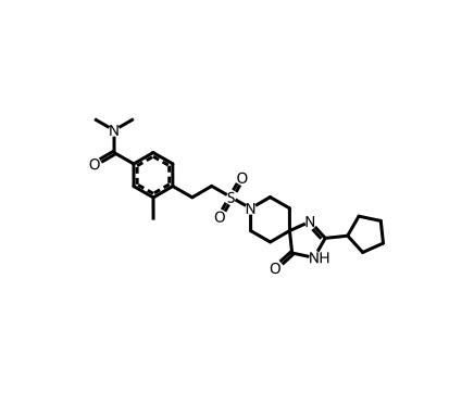 Cc1cc(C(=O)N(C)C)ccc1CCS(=O)(=O)N1CCC2(CC1)N=C(C1CCCC1)NC2=O